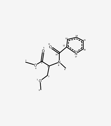 COCC(C(=O)OC)N(C)C(=O)c1ccccn1